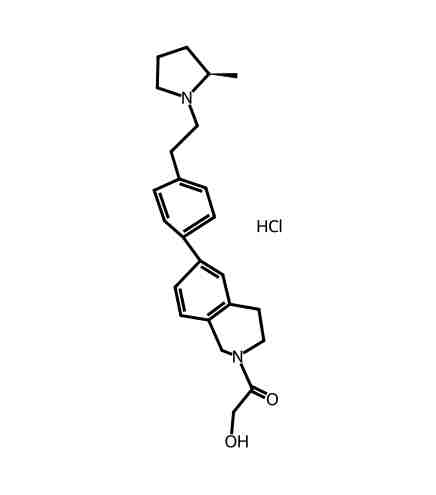 C[C@@H]1CCCN1CCc1ccc(-c2ccc3c(c2)CCN(C(=O)CO)C3)cc1.Cl